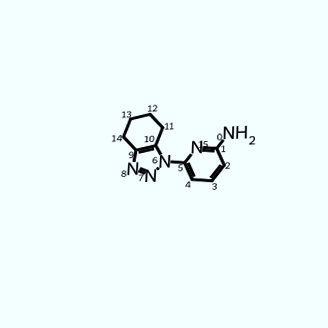 Nc1cccc(-n2nnc3c2CCCC3)n1